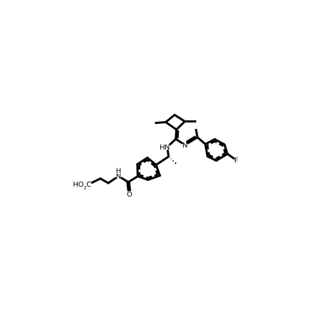 C/C(=N\C(N[C@H](C)c1ccc(C(=O)NCCC(=O)O)cc1)=C1C(C)CC1C)c1ccc(F)cc1